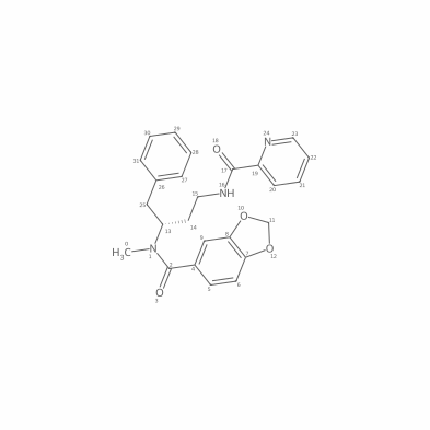 CN(C(=O)c1ccc2c(c1)OCO2)[C@@H](CCNC(=O)c1ccccn1)Cc1ccccc1